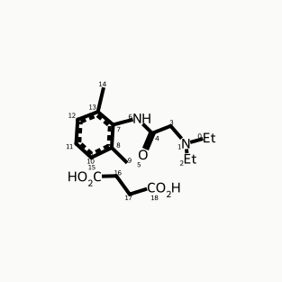 CCN(CC)CC(=O)Nc1c(C)cccc1C.O=C(O)CCC(=O)O